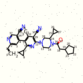 C=Cc1cc(-c2c(C3CC3)nc(N3CCN(C(=O)CC4CCCC4)C(C4CC4)C3)c(C#N)c2C)c(C#N)cn1